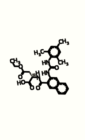 CCOC(=O)C[C@H](NC(=O)c1cc2ccccc2cc1NC(=O)Nc1c(C)cc(C)cc1C)C(=O)O